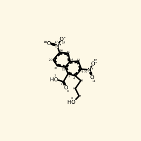 O=C(O)c1c(CCCO)c([N+](=O)[O-])cc2cc([N+](=O)[O-])ccc12